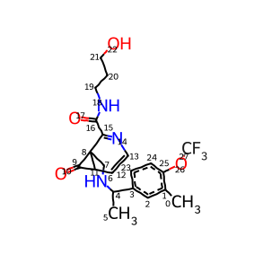 Cc1cc(C(C)NCC23C(=O)C2C=CN=C3C(=O)NCCCO)ccc1OC(F)(F)F